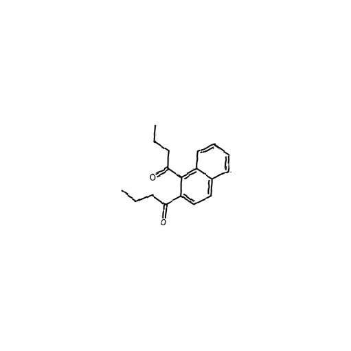 CCCC(=O)c1ccc2[c]cccc2c1C(=O)CCC